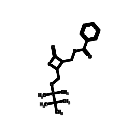 CC(C)(C)[Si](C)(C)OCC1OC(=O)C1COC(=O)c1ccccc1